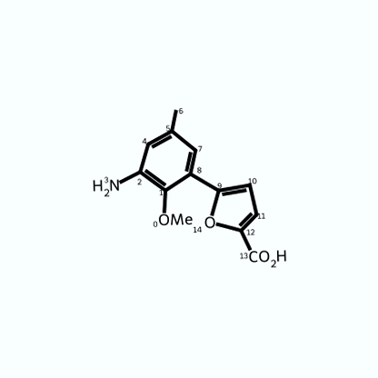 COc1c(N)cc(C)cc1-c1ccc(C(=O)O)o1